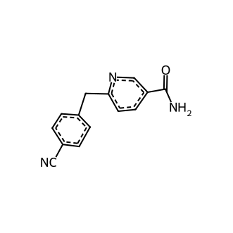 N#Cc1ccc(Cc2ccc(C(N)=O)cn2)cc1